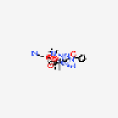 CC[C@@]12CO[C@@H]([C@H](n3cnc4c(NC(=O)c5ccccc5)ncnc43)O1)[C@@H]2OP(OCCC#N)N(C(C)C)C(C)C